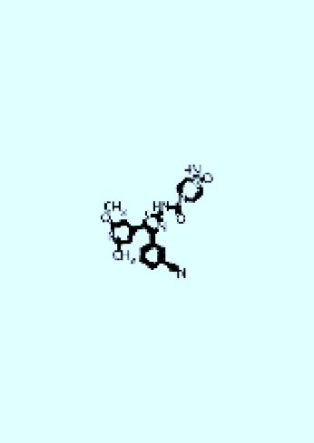 COc1cc(-c2sc(NC(=O)N3CCS(=N)(=O)CC3)nc2-c2cccc(C#N)c2)cc(C)n1